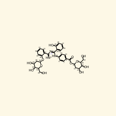 N=C(/N=C(\Nc1ccc(C(=O)OC2CC(O)C(O)C(CO)O2)cc1)c1ccccc1O)c1ccccc1OC1CC(O)C(O)C(CO)O1